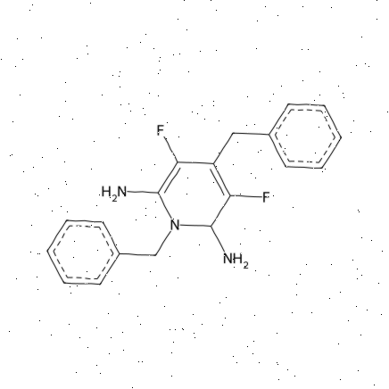 NC1=C(F)C(Cc2ccccc2)=C(F)C(N)N1Cc1ccccc1